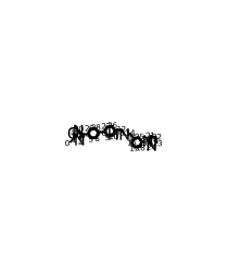 Cc1nc(-c2ccc(-c3ccc(CNCc4cccc(-n5cccn5)c4)cc3)cc2)no1